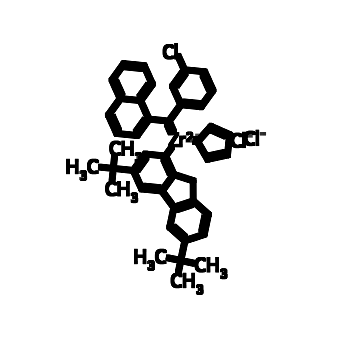 CC(C)(C)c1ccc2c(c1)-c1cc(C(C)(C)C)c[c]([Zr+2](=[C](c3cccc(Cl)c3)c3cccc4ccccc34)[CH]3C=CC=C3)c1C2.[Cl-].[Cl-]